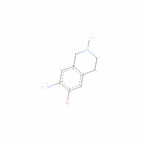 CN1CCc2cc(Br)c(N)cc2C1